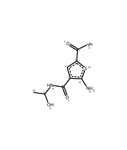 CCCC(=O)c1cc(C(=O)NC(C)O)c(N)s1